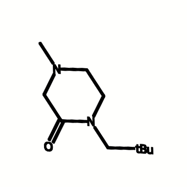 CN1CCN(CC(C)(C)C)C(=O)C1